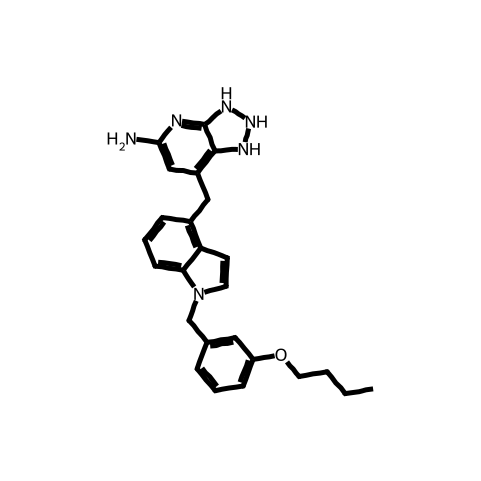 CCCCOc1cccc(Cn2ccc3c(Cc4cc(N)nc5c4NNN5)cccc32)c1